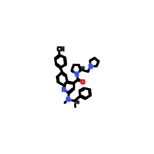 C[C@@H](c1ccccc1)N(C)c1cc(C(=O)N2CCC[C@H]2CN2CCCC2)c2cc(-c3ccc(C#N)cc3)ccc2n1